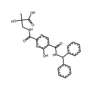 CC(O)(CNC(=O)c1ncc(C(=O)NC(c2ccccc2)c2ccccc2)c(O)n1)C(=O)O